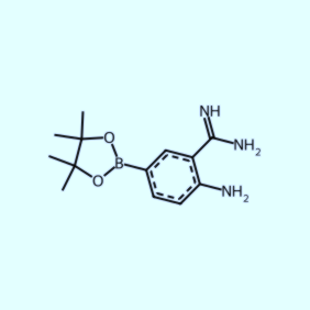 CC1(C)OB(c2ccc(N)c(C(=N)N)c2)OC1(C)C